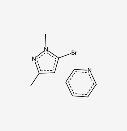 Cc1cc(Br)n(C)n1.c1ccncc1